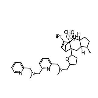 CC(C)C1=CC2CC3(C=O)[C@@H]4CC[C@@H](C)[C@H]4CC2(C2CCC(CN(C)Cc4cccc(CN(C)Cc5ccccn5)n4)O2)C13C(=O)O